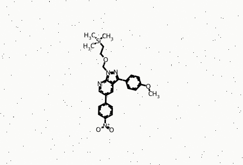 COc1ccc(-c2nn(COCC[Si](C)(C)C)c3ncc(-c4ccc([N+](=O)[O-])cc4)cc23)cc1